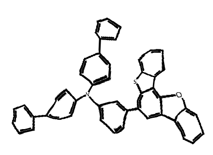 c1ccc(-c2ccc(N(c3ccc(-c4ccccc4)cc3)c3cccc(-c4cc5c6ccccc6oc5c5c4sc4ccccc45)c3)cc2)cc1